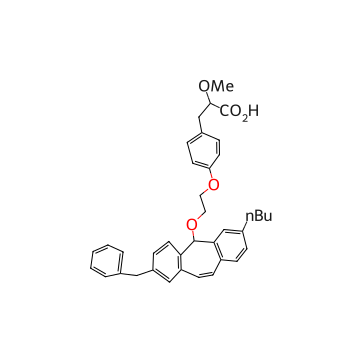 CCCCc1ccc2c(c1)C(OCCOc1ccc(CC(OC)C(=O)O)cc1)c1ccc(Cc3ccccc3)cc1C=C2